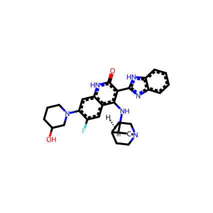 O=c1[nH]c2cc(N3CCCC(O)C3)c(F)cc2c(N[C@H]2CN3CCC2CC3)c1-c1nc2ccccc2[nH]1